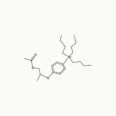 CCC[CH2][Sn]([CH2]CCC)([CH2]CCC)[c]1ccc(OC(C)COC(C)=O)cc1